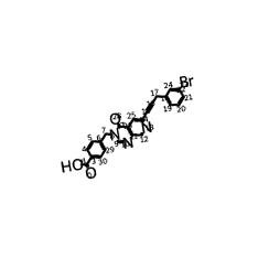 O=C(O)c1ccc(Cn2cnc3cnc(C#CCc4cccc(Br)c4)cc3c2=O)cc1